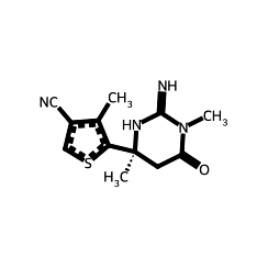 Cc1c(C#N)csc1[C@]1(C)CC(=O)N(C)C(=N)N1